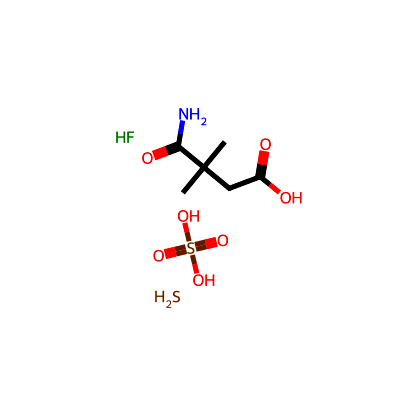 CC(C)(CC(=O)O)C(N)=O.F.O=S(=O)(O)O.S